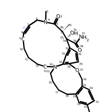 C[C@H]1C(=O)N(C)C/C=C\CCCCCN2CCCCc3cc(Cl)ccc3COc3ccc(cc32)[C@]1(O)C(N)=O